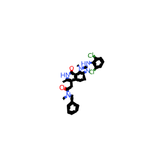 Cc1[nH]c(=O)c2c(ccc3nc(Nc4c(Cl)cccc4Cl)n(C)c32)c1CC(=O)N(C)Cc1ccccc1